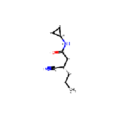 CCC[C@H](C#N)CC(=O)NC1CC1